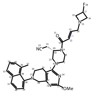 COc1nc2c(c(N3CCN(C(=O)/C=C/CN4CC(F)C4)[C@@H](CC#N)C3)n1)CCN(c1cccc3cccc(C)c13)C2